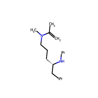 C=C(C)N(C)CCC[C@@H](CC(C)C)NC(C)C